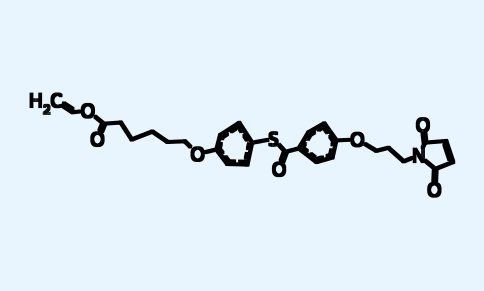 C=COC(=O)CCCCCOc1ccc(SC(=O)c2ccc(OCCCN3C(=O)C=CC3=O)cc2)cc1